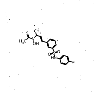 CC(=S)N(O)C(C)C=Cc1cccc(S(=O)(=O)Nc2ccc(F)cc2)c1